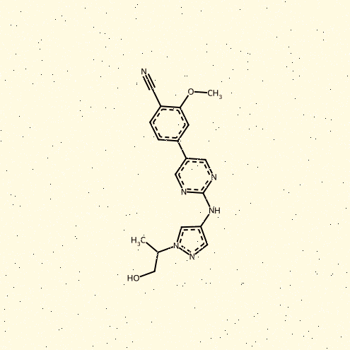 COc1cc(-c2cnc(Nc3cnn(C(C)CO)c3)nc2)ccc1C#N